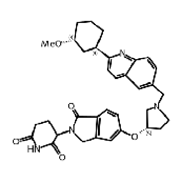 CO[C@@H]1CCC[C@@H](c2ccc3cc(CN4CC[C@H](Oc5ccc6c(c5)CN(C5CCC(=O)NC5=O)C6=O)C4)ccc3n2)C1